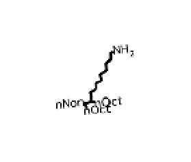 CCCCCCCCCC(CCCCCCCC)C(CCCCCCCC)CCCCCCCCCN